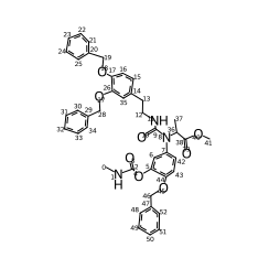 CNC(=O)Oc1cc(N(C(=O)NCCc2ccc(OCc3ccccc3)c(OCc3ccccc3)c2)C(C)C(=O)OC)ccc1OCc1ccccc1